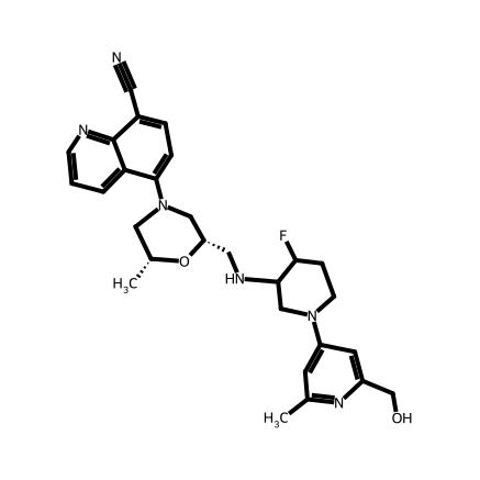 Cc1cc(N2CCC(F)C(NC[C@H]3CN(c4ccc(C#N)c5ncccc45)C[C@@H](C)O3)C2)cc(CO)n1